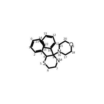 c1ccc(C2SCC[N]C2(c2ccccc2)N2CCOCC2)cc1